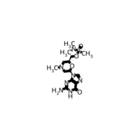 CN1C[C@@H](COP(C)(=O)N(C)C)O[C@@H](n2cnc3c(=O)[nH]c(N)nc32)C1